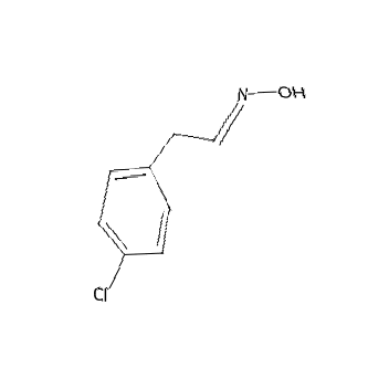 ON=CCc1ccc(Cl)cc1